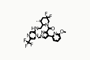 COc1cccc(-c2cn(C)nc2C(=O)N2CC(F)(F)C[C@@H](C)C2CNc2cnc(C(F)(F)F)cn2)n1